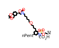 CCCCCc1cc(CCCCOCCCCCCN2C[C@@H](c3ccc4c(c3)COC(C)(C)O4)OC2=O)cc(N(C(=O)O)C(OCC[Si](C)(C)C)=S(=O)=O)c1